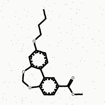 CCCCOc1ccc2c(c1)OCOc1ccc(C(=O)OC)cc1-2